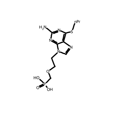 CCCSc1nc(N)nc2c1ncn2CCOCP(=O)(O)O